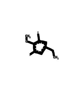 CCc1cc(I)c(OC)c(I)c1